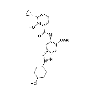 COc1cc2nn(C3CCC(O)CC3)cc2cc1NC(=O)c1cccc(C2CC2)[n+]1O